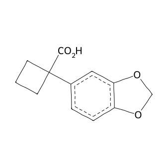 O=C(O)C1(c2ccc3c(c2)OCO3)CCC1